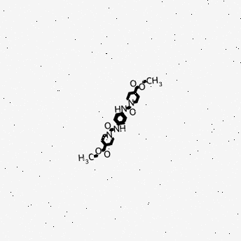 CCOC(=O)C1CCN(C(=O)Nc2ccc(NC(=O)N3CCC(C(=O)OCC)CC3)cc2)CC1